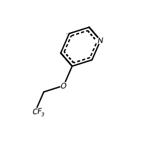 FC(F)(F)COc1c[c]cnc1